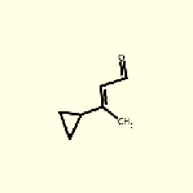 CC(=CC=O)C1CC1